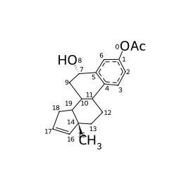 CC(=O)Oc1ccc2c(c1)[C@@H](O)CC1C2CC[C@]2(C)C=CCC12